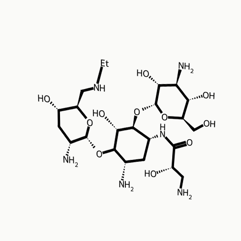 CCNC[C@H]1O[C@H](OC2[C@@H](N)C[C@@H](NC(=O)[C@@H](O)CN)[C@H](O[C@H]3O[C@H](CO)[C@@H](O)[C@H](N)[C@H]3O)[C@H]2O)[C@H](N)C[C@@H]1O